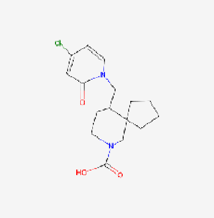 O=C(O)N1CCC(Cn2ccc(Cl)cc2=O)C2(CCCC2)C1